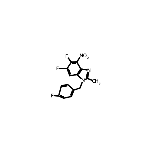 Cc1nc2c([N+](=O)[O-])c(F)c(F)cc2n1Cc1ccc(F)cc1